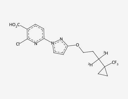 [2H]C([2H])(CCOc1ccn(-c2ccc(C(=O)O)c(Cl)n2)n1)C1(C(F)(F)F)CC1